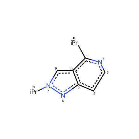 CC(C)c1nccc2nn(C(C)C)cc12